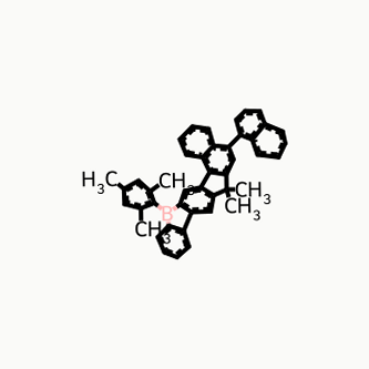 Cc1cc(C)c(B2c3ccccc3-c3cc4c(cc32)-c2c(cc(-c3cccc5ccccc35)c3ccccc23)C4(C)C)c(C)c1